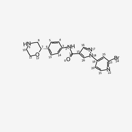 O=C(Nc1ccc([C@H]2CNCCO2)cc1)c1cnn(-c2ccnc(Br)c2)c1